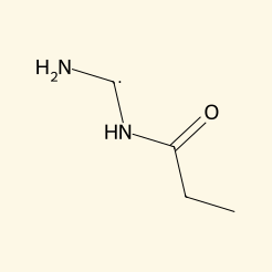 CCC(=O)N[CH]N